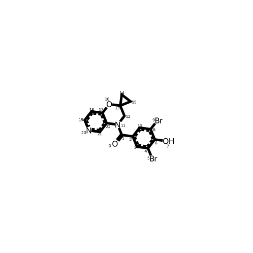 O=C(c1cc(Br)c(O)c(Br)c1)N1CC2(CC2)Oc2ccncc21